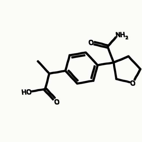 CC(C(=O)O)c1ccc(C2(C(N)=O)CCOC2)cc1